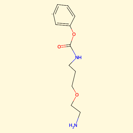 NCCOCCCNC(=O)Oc1c[c]ccc1